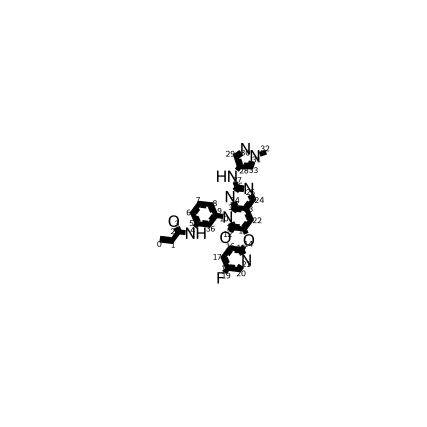 C=CC(=O)Nc1cccc(-n2c(=O)c(Oc3ccc(F)cn3)cc3cnc(Nc4cnn(C)c4)nc32)c1